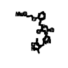 COCCOc1ccccc1CN1CC(=O)N(c2cnn(Cc3c(C)noc3C)c2)C1=O